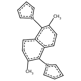 Cc1ccc2c(-n3cccc3)c(C)ccc2c1-n1cccc1